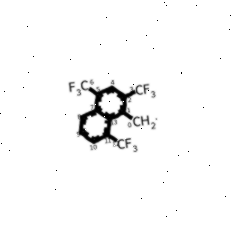 [CH2]c1c(C(F)(F)F)cc(C(F)(F)F)c2cccc(C(F)(F)F)c12